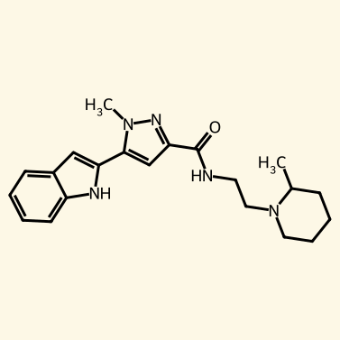 CC1CCCCN1CCNC(=O)c1cc(-c2cc3ccccc3[nH]2)n(C)n1